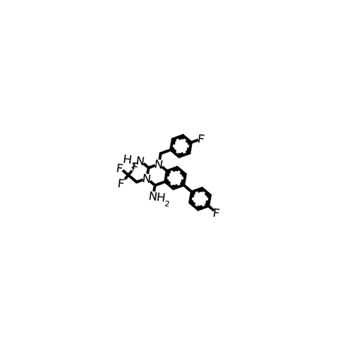 NC1c2cc(-c3ccc(F)cc3)ccc2N(Cc2ccc(F)cc2)C(N)N1CC(F)(F)F